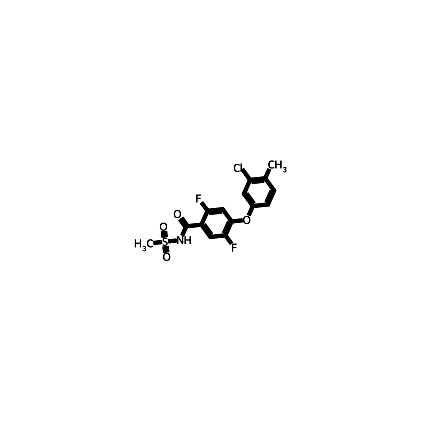 Cc1ccc(Oc2cc(F)c(C(=O)NS(C)(=O)=O)cc2F)cc1Cl